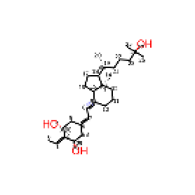 CC=C1[C@H](O)CC(=C/C=C2\CCC[C@@]3(C)C2CCC3[C@H](C)CCCC(C)(C)O)C[C@H]1O